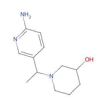 CC(c1ccc(N)nc1)N1CCCC(O)C1